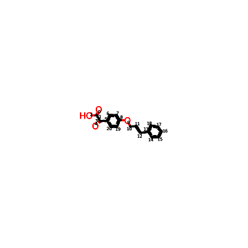 O=C(O)C(=O)c1ccc(OC/C=C/c2ccccc2)cc1